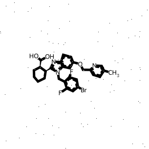 Cc1ccc(COc2ccc3nc([C@H]4CCCC[C@H]4C(O)O)n(Cc4c(F)cc(Br)cc4F)c3c2)nc1